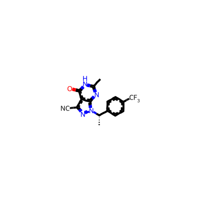 Cc1nc2c(c(C#N)nn2[C@@H](C)c2ccc(C(F)(F)F)cc2)c(=O)[nH]1